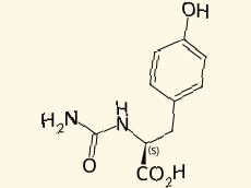 NC(=O)N[C@@H](Cc1ccc(O)cc1)C(=O)O